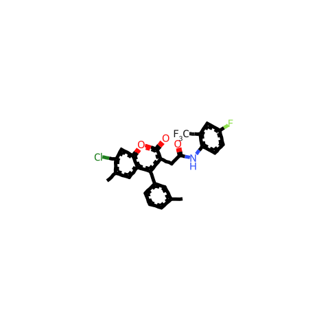 Cc1cccc(-c2c(CC(=O)Nc3ccc(F)cc3C(F)(F)F)c(=O)oc3cc(Cl)c(C)cc23)c1